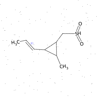 C/C=C/C1C(C)C1C[SH](=O)=O